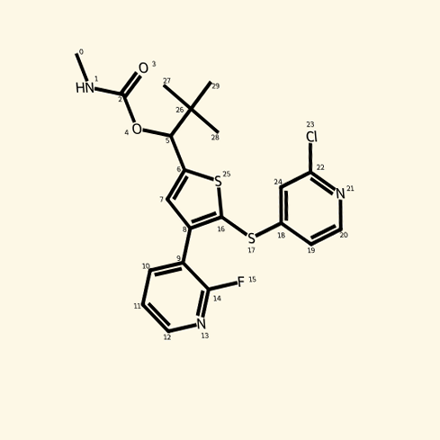 CNC(=O)OC(c1cc(-c2cccnc2F)c(Sc2ccnc(Cl)c2)s1)C(C)(C)C